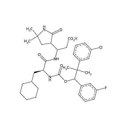 CC1(C)CC(C(CC(=O)O)NC(=O)[C@H](CC2CCCCC2)NC(=O)OC(c2cccc(F)c2)C(C)(C)c2cccc(Cl)c2)C(=O)N1